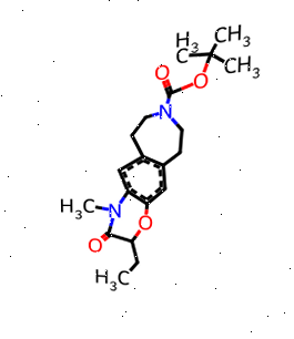 CCC1Oc2cc3c(cc2N(C)C1=O)CCN(C(=O)OC(C)(C)C)CC3